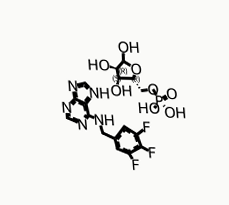 Fc1cc(CNc2ncnc3nc[nH]c23)cc(F)c1F.O=P(O)(O)OC[C@H]1OC(O)[C@H](O)[C@@H]1O